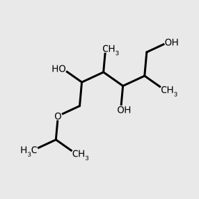 CC(C)OCC(O)C(C)C(O)C(C)CO